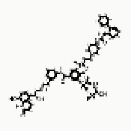 Cc1ccc(C(=O)Nc2cccc(CCNC[C@H](O)c3ccc(O)c4[nH]c(=O)ccc34)c2)cc1N(C)C(=O)CCN1CCC(OC(=O)Nc2ccccc2-c2ccccc2)CC1.O=C(O)C(F)(F)F.O=C(O)C(F)(F)F